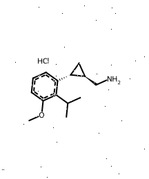 COc1cccc([C@@H]2C[C@H]2CN)c1C(C)C.Cl